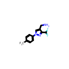 NCc1cn(-c2ccc(C(F)(F)F)cc2)nc1C(F)F